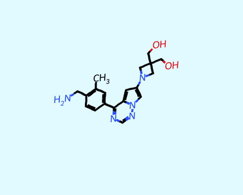 Cc1cc(-c2ncnn3cc(N4CC(CO)(CO)C4)cc23)ccc1CN